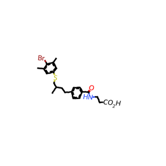 Cc1cc(SCC(C)CCc2ccc(C(=O)NCCC(=O)O)cc2)cc(C)c1Br